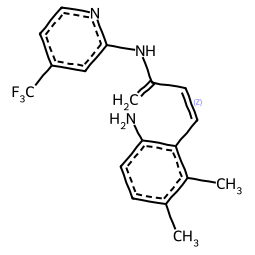 C=C(/C=C\c1c(N)ccc(C)c1C)Nc1cc(C(F)(F)F)ccn1